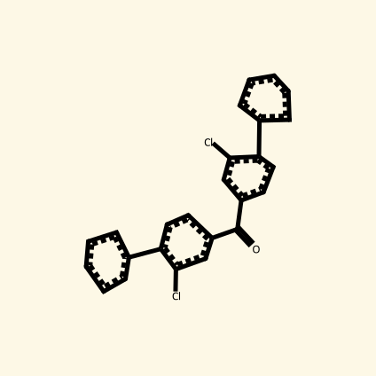 O=C(c1ccc(-c2ccccc2)c(Cl)c1)c1ccc(-c2ccccc2)c(Cl)c1